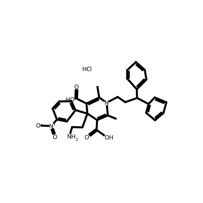 CC1=C(C(=O)O)C(CCN)(c2cccc([N+](=O)[O-])c2)C(C(=O)O)=C(C)N1CCC(c1ccccc1)c1ccccc1.Cl